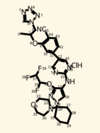 CC(Cn1cnnn1)Oc1cc(-c2cnc(Nc3cn(C4(N5CCOCC5)CCCCC4)nc3OC(F)C(F)F)nc2)ccc1C#N.Cl